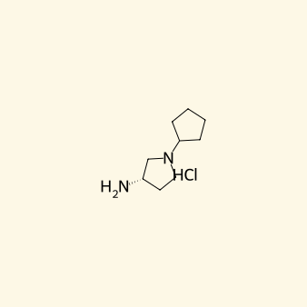 Cl.N[C@H]1CCN(C2CCCC2)C1